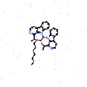 CCCCCCCCCC(n1c2ccccc2c2ccnc(C(C)C)c21)n1c2ccccc2c2ccnc(C(C)C)c21